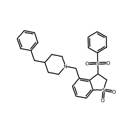 O=S1(=O)CC(S(=O)(=O)c2ccccc2)c2c(CN3CCC(Cc4ccccc4)CC3)cccc21